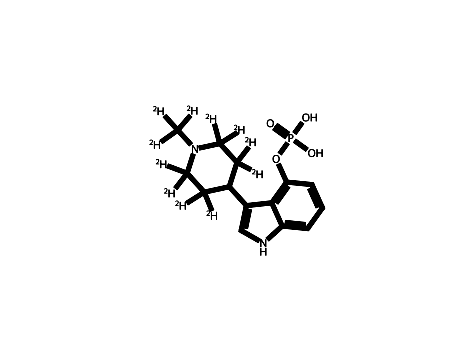 [2H]C([2H])([2H])N1C([2H])([2H])C([2H])([2H])C(c2c[nH]c3cccc(OP(=O)(O)O)c23)C([2H])([2H])C1([2H])[2H]